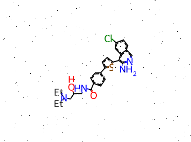 CCN(CC)CC(O)CNC(=O)c1ccc(-c2ccc(-c3c(N)ncc4ccc(Cl)cc34)s2)cc1